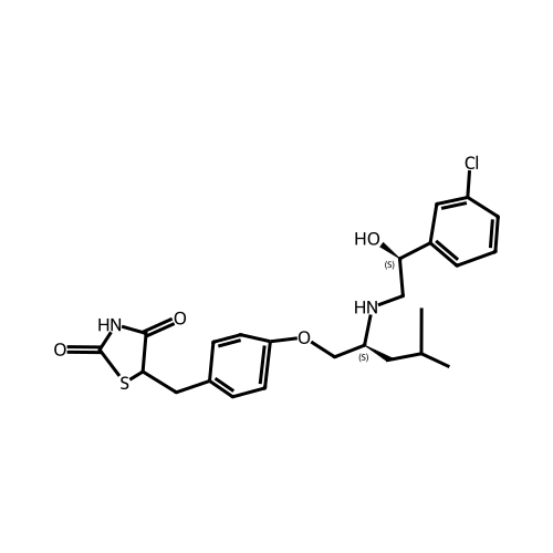 CC(C)C[C@@H](COc1ccc(CC2SC(=O)NC2=O)cc1)NC[C@@H](O)c1cccc(Cl)c1